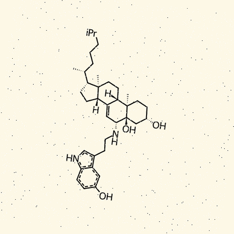 CC(C)CCC[C@@H](C)[C@H]1CC[C@H]2C3=C[C@@H](NCCc4c[nH]c5ccc(O)cc45)[C@@]4(O)C[C@@H](O)CC[C@]4(C)[C@H]3CC[C@]12C